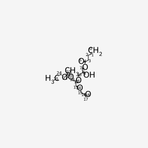 C=CCCC(=O)OCC(O)COC(COCC1CO1)COC(C)OCC